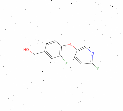 OCc1ccc(Oc2ccc(F)nc2)c(F)c1